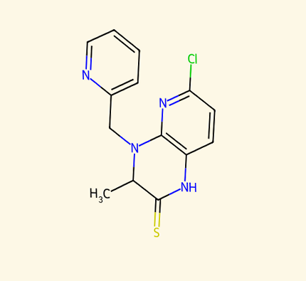 CC1C(=S)Nc2ccc(Cl)nc2N1Cc1ccccn1